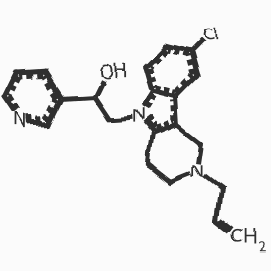 C=CCN1CCc2c(c3cc(Cl)ccc3n2CC(O)c2cccnc2)C1